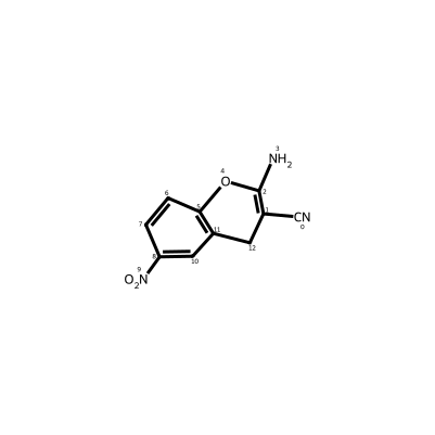 N#CC1=C(N)Oc2ccc([N+](=O)[O-])cc2C1